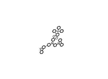 c1ccc(C2(c3ccccc3)c3ccccc3-c3c2ccc2c3Oc3ccc(N(c4ccc(-c5ccc6sc7ccccc7c6c5)cc4)c4cccc(-n5c6ccccc6c6ccccc65)c4)cc3O2)cc1